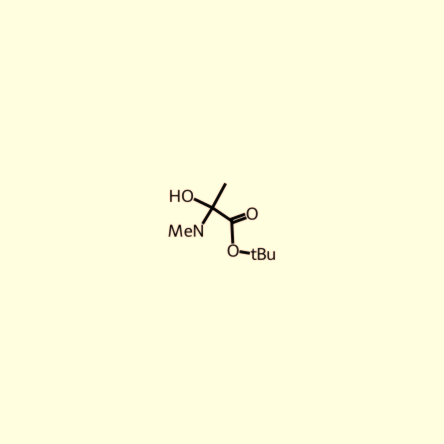 CNC(C)(O)C(=O)OC(C)(C)C